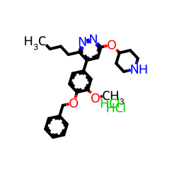 CCCCc1nnc(OC2CCNCC2)cc1-c1ccc(OCc2ccccc2)c(OC)c1.Cl.Cl